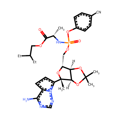 CCC(CC)COC(=O)[C@H](C)NP(=O)(OC[C@H]1O[C@@](C)(c2ccc3c(N)ncnn23)[C@@H]2OC(C)(C)O[C@@H]21)Oc1ccc(C#N)cc1